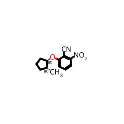 C[C@@H]1CCC[C@H]1Oc1cccc([N+](=O)[O-])c1C#N